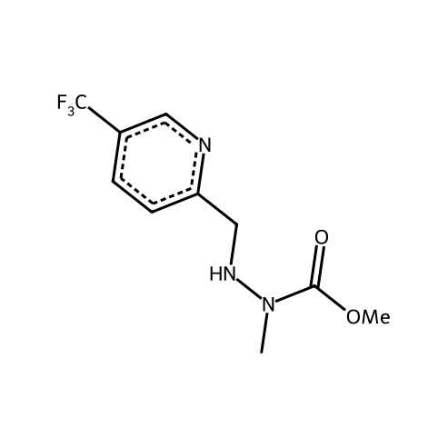 COC(=O)N(C)NCc1ccc(C(F)(F)F)cn1